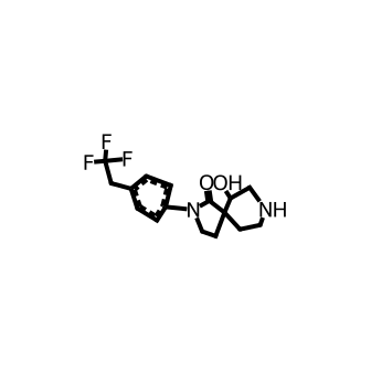 O=C1N(c2ccc(CC(F)(F)F)cc2)CCC12CCNCC2O